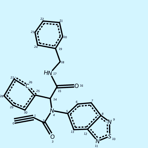 C#CC(=O)N(c1ccc2nsnc2c1)C(C(=O)NCc1ccccc1)c1ccccc1